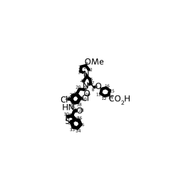 CO[C@@H]1CCN([C@H]2C[C@@H](CO[C@H]3CC[C@H](C(=O)O)CC3)N(C(=O)Cc3cc(Cl)c(NC(=O)c4csc5ccccc45)cc3Cl)C2)C1